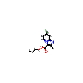 CCCCOC(=O)c1c(C)nc2cc(F)ccn12